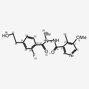 COc1cncc(C(=O)NN(C(=O)c2ccc(CCO)cc2F)C(C)(C)C)c1C